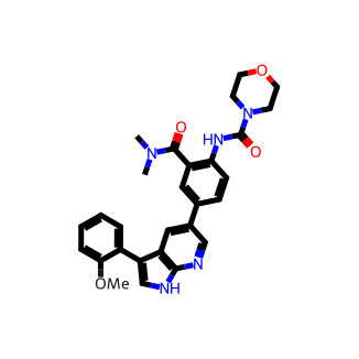 COc1ccccc1-c1c[nH]c2ncc(-c3ccc(NC(=O)N4CCOCC4)c(C(=O)N(C)C)c3)cc12